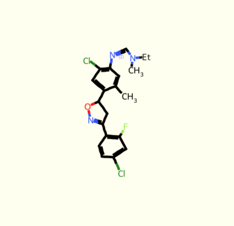 CCN(C)/C=N\c1cc(C)c(C2CC(c3ccc(Cl)cc3F)=NO2)cc1Cl